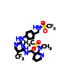 CN(c1ncccc1CNc1nc(Nc2ccc(CNS(=O)(=O)C(F)(F)F)cc2)ncc1C(F)(F)F)S(C)(=O)=O